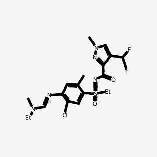 CCN(C)/C=N/c1cc(C)c(S(=O)(CC)=NC(=O)c2nn(C)cc2C(F)F)cc1Cl